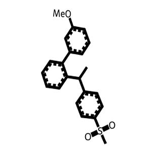 COc1cccc(-c2ccccc2C(C)c2ccc(S(C)(=O)=O)cc2)c1